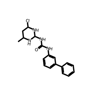 CC1CC(Cl)NC(NC(=O)Nc2cccc(-c3ccccc3)c2)N1